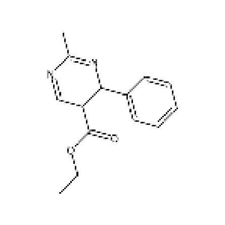 CCOC(=O)C1C=NC(C)=NC1c1ccccc1